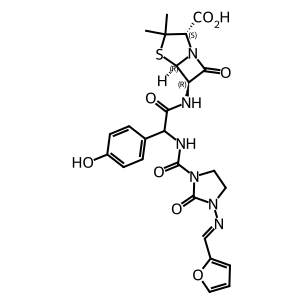 CC1(C)S[C@@H]2[C@H](NC(=O)C(NC(=O)N3CCN(N=Cc4ccco4)C3=O)c3ccc(O)cc3)C(=O)N2[C@H]1C(=O)O